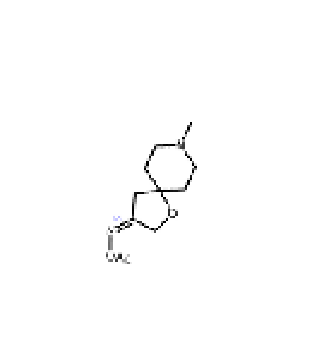 CC(=O)O/N=C1\COC2(CCN(C)CC2)C1